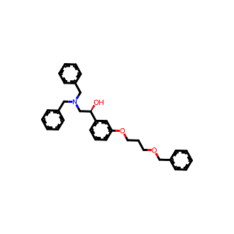 O[C@H](CN(Cc1ccccc1)Cc1ccccc1)c1cccc(OCCCOCc2ccccc2)c1